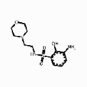 Nc1cccc(S(=O)(=O)NCCN2CCOCC2)c1O